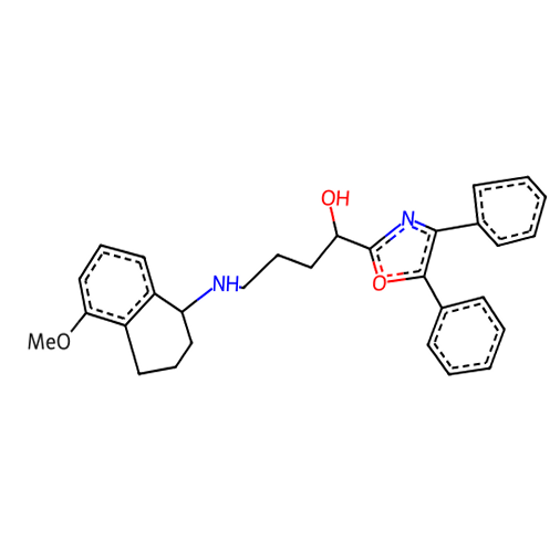 COc1cccc2c1CCCC2NCCCC(O)c1nc(-c2ccccc2)c(-c2ccccc2)o1